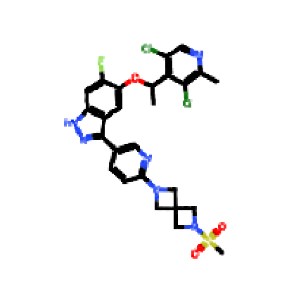 Cc1ncc(Cl)c(C(C)Oc2cc3c(-c4ccc(N5CC6(C5)CN(S(C)(=O)=O)C6)nc4)n[nH]c3cc2F)c1Cl